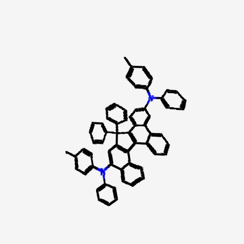 Cc1ccc(N(c2ccccc2)c2ccc3c4c(c5ccccc5c3c2)-c2c(cc(N(c3ccccc3)c3ccc(C)cc3)c3ccccc23)C4(c2ccccc2)c2ccccc2)cc1